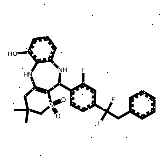 CC1(C)CC2=C(C(c3ccc(C(F)(F)Cc4ccccc4)cc3F)Nc3cccc(O)c3N2)S(=O)(=O)C1